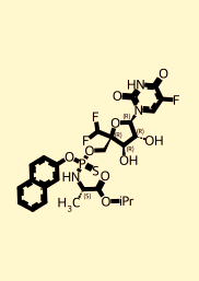 CC(C)OC(=O)[C@H](C)NP(=S)(OC[C@@]1(C(F)F)O[C@@H](n2cc(F)c(=O)[nH]c2=O)[C@H](O)[C@H]1O)Oc1ccc2ccccc2c1